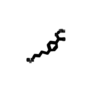 CC(C)(C)OC(=O)c1ccc(CCC=C[N+](=O)[O-])cc1